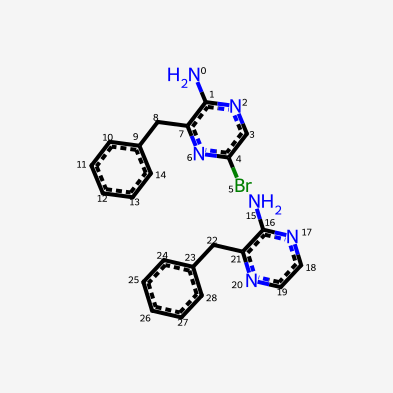 Nc1ncc(Br)nc1Cc1ccccc1.Nc1nccnc1Cc1ccccc1